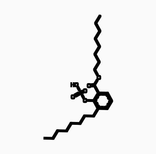 CCCCCCCCOC(=O)c1cccc(CCCCCCCC)c1OS(=O)(=O)O